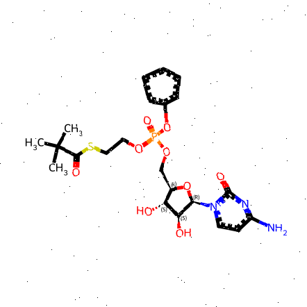 CC(C)(C)C(=O)SCCOP(=O)(OC[C@H]1O[C@@H](n2ccc(N)nc2=O)[C@@H](O)[C@@H]1O)Oc1ccccc1